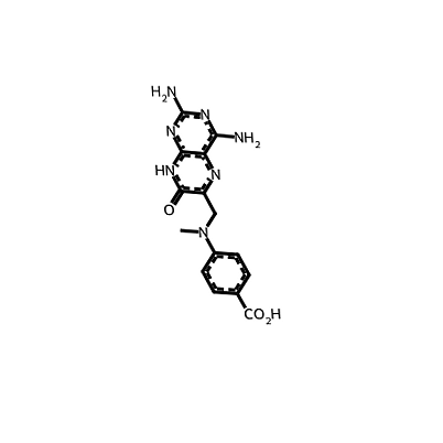 CN(Cc1nc2c(N)nc(N)nc2[nH]c1=O)c1ccc(C(=O)O)cc1